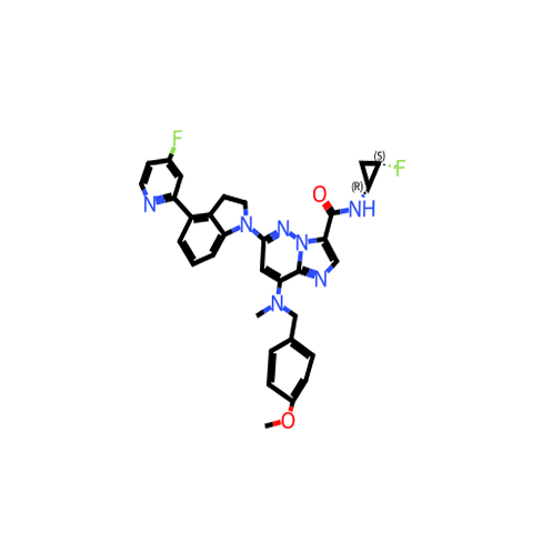 COc1ccc(CN(C)c2cc(N3CCc4c(-c5cc(F)ccn5)cccc43)nn3c(C(=O)N[C@@H]4C[C@@H]4F)cnc23)cc1